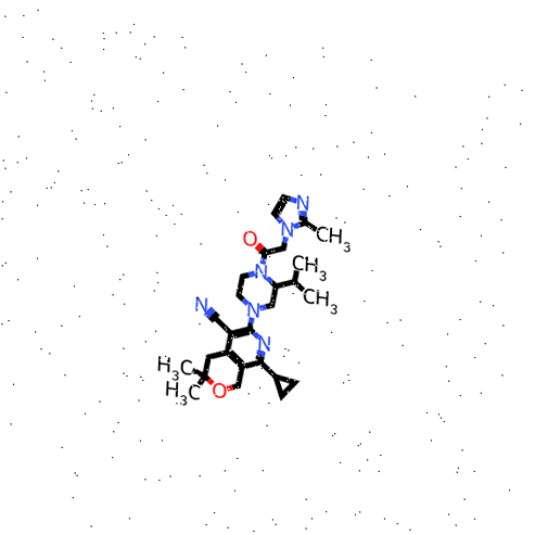 Cc1nccn1CC(=O)N1CCN(c2nc(C3CC3)c3c(c2C#N)CC(C)(C)OC3)CC1C(C)C